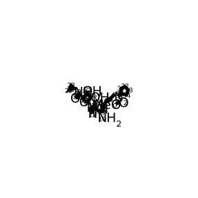 COC(=O)N(CC#Cc1nc(N)c2ncn([C@@H]3O[C@H](C(=O)NC4CC4)C(O)[C@@H]3O)c2n1)C1CCCC1